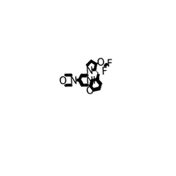 O=c1cc(N2CCOCC2)cc(N2CC[C@@H](OC(F)F)[C@@H]2Cc2ccccc2)[nH]1